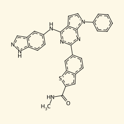 CNC(=O)c1cc2ccc(-c3nc(Nc4ccc5[nH]ncc5c4)c4ccn(-c5ccccc5)c4n3)cc2s1